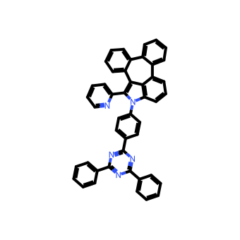 c1ccc(-c2nc(-c3ccccc3)nc(-c3ccc(-n4c(-c5ccccn5)c5c6c(cccc64)-c4ccccc4-c4ccccc4-5)cc3)n2)cc1